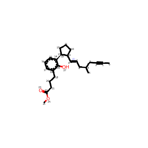 CC#CCC(C)C/C=C/C1CCC[C@@H]1c1cccc(CCCC(=O)OC)c1O